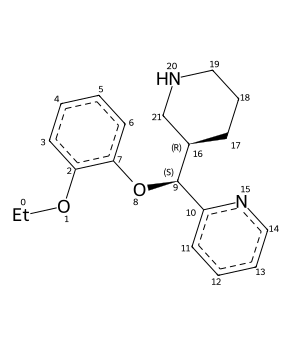 CCOc1ccccc1O[C@H](c1ccccn1)[C@@H]1CCCNC1